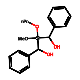 CCCO[Si](OC)(C(O)c1ccccc1)C(O)c1ccccc1